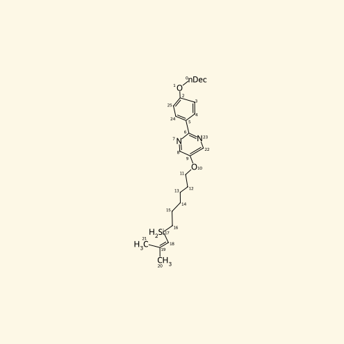 CCCCCCCCCCOc1ccc(-c2ncc(OCCCCCC[SiH2]C=C(C)C)cn2)cc1